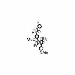 CNC1CC=C(c2cnc(N)c3c(-c4ccc(NC(=O)Nc5cccc(F)c5)cc4OC)nc(C(C)C)n23)CC1